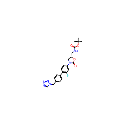 CC(C)(C)OC(=O)NC[C@H]1CN(c2ccc(-c3ccc(Cn4cnnn4)cc3)c(F)c2)C(=O)O1